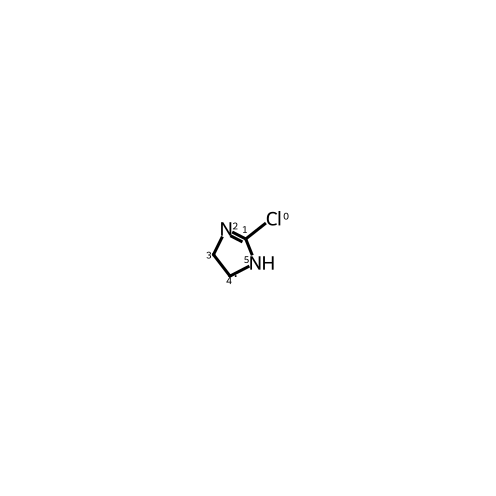 ClC1=NC[CH]N1